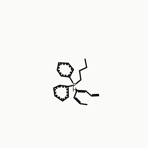 C=C/C=C(\C=C/C)[PH](CCCC)(c1ccccc1)c1ccccc1